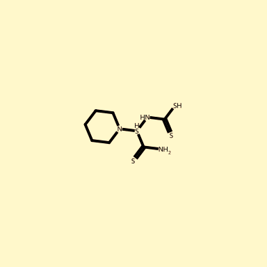 NC(=S)[SH](NC(=S)S)N1CCCCC1